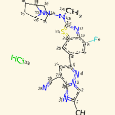 Cc1cn2nc(-c3cc(F)c4nc(N(C)C5CC6CCC(C5)N6)sc4c3)cc(C#N)c2n1.Cl